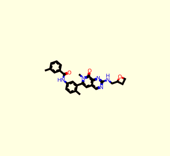 Cc1cccc(C(=O)Nc2ccc(C)c(-c3cc4cnc(NCC5CCO5)nc4c(=O)n3C)c2)c1